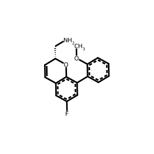 COc1ccccc1-c1cc(F)cc2c1O[C@@H](CN)C=C2